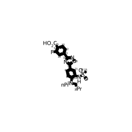 CCCN(CC(C)C)c1ccc(-c2nc(-c3ccc(C(=O)O)c(F)c3)no2)cc1NS(C)(=O)=O